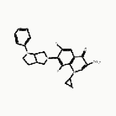 O=C(O)c1cn(C2CC2)c2c(F)c(N3CC4CCN(c5ccccc5)C4C3)c(F)cc2c1=O